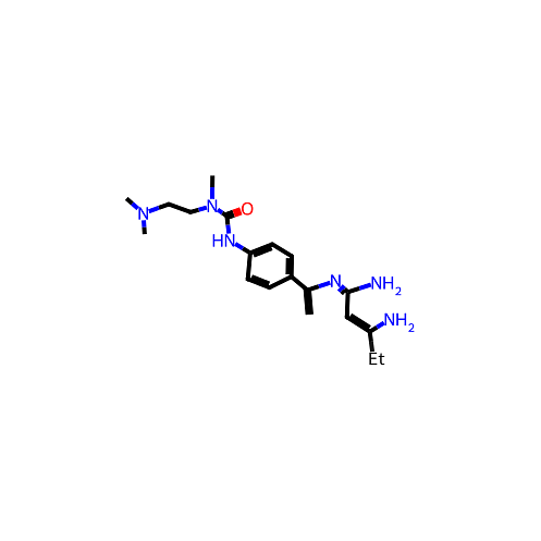 C=C(/N=C(N)\C=C(/N)CC)c1ccc(NC(=O)N(C)CCN(C)C)cc1